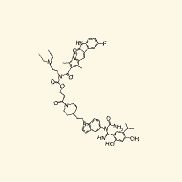 CCN(CC)CCN(C(=O)OCCC(=O)N1CCC(CCn2ccc3cc(N(C(=N)c4cc(C(C)C)c(O)cc4O)C(N)=O)ccc32)CC1)C(=O)c1c(C)[nH]c(/C=C2\C(=O)Nc3ccc(F)cc32)c1C